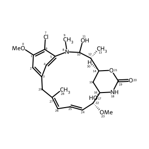 COc1cc2cc(c1Cl)N(C)C(O)[C@H](C)[C@@H]1C[C@@](O)(NC(=O)O1)[C@H](OC)/C=C/C=C(\C)C2